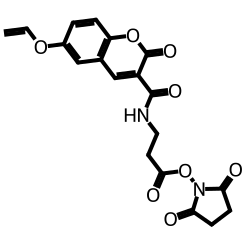 C=COc1ccc2oc(=O)c(C(=O)NCCC(=O)ON3C(=O)CCC3=O)cc2c1